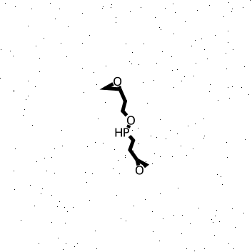 C(CC1CO1)OPCCC1CO1